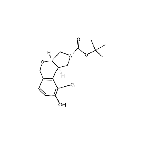 CC(C)(C)OC(=O)N1C[C@@H]2OCc3ccc(O)c(Cl)c3[C@@H]2C1